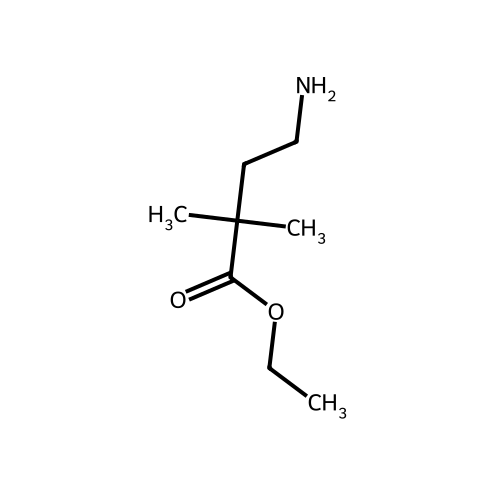 CCOC(=O)C(C)(C)CCN